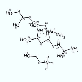 CC(N)=O.C[N+](C)(C)CCO.N=C(N)NCCC[C@H](N)C(=O)O.NCC(=O)[O-].OCC(O)CO